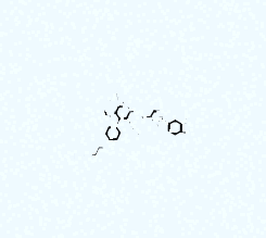 [C-]#[N+]c1c(OC)nc(SCc2csc(-c3ccc(F)c(F)c3)n2)c(C#N)c1-c1ccc(OCCO)cc1